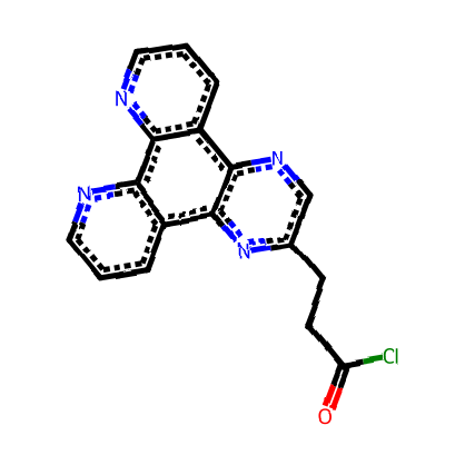 O=C(Cl)CCc1cnc2c3cccnc3c3ncccc3c2n1